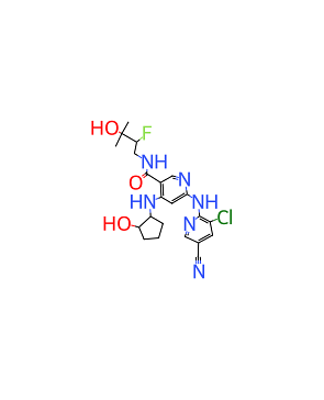 CC(C)(O)C(F)CNC(=O)c1cnc(Nc2ncc(C#N)cc2Cl)cc1NC1CCCC1O